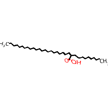 CCCCCCCCCCCCCCCCCCCCCCC(CCCCCCCCCC)C(=O)O